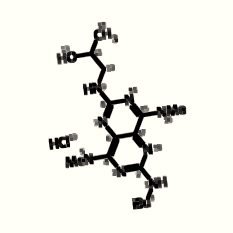 CCC(C)Nc1nc(NC)c2nc(NCC(C)O)nc(NC)c2n1.Cl